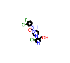 O=C(Nc1ccc(F)c(Cl)c1)N1CCCN(c2c(Cl)cncc2CO)CC1